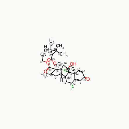 C[C@@H]1C[C@H]2[C@@H]3C[C@H](F)C4=CC(=O)C=C[C@]4(C)[C@@]3(F)[C@H](O)C[C@]2(C)[C@]1(OC(=O)C1C(C)(C)C1(C)C)C(=O)OCC#N